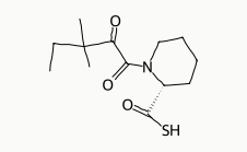 CCC(C)(C)C(=O)C(=O)N1CCCC[C@@H]1C(=O)S